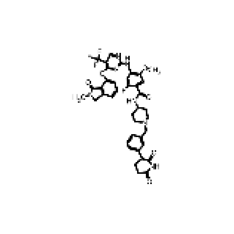 COc1cc(C(=O)NC2CCN(Cc3cccc(C4CCC(=O)NC4=O)c3)CC2)c(F)cc1Nc1ncc(C(F)(F)F)c(Oc2cccc3c2C(=O)N(C)C3)n1